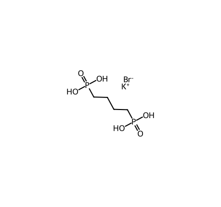 O=P(O)(O)CCCCP(=O)(O)O.[Br-].[K+]